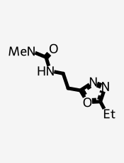 CCc1nnc(CCNC(=O)NC)o1